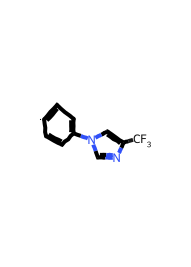 FC(F)(F)c1cn(-c2cc[c]cc2)cn1